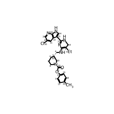 CCC1=C(NC[C@H]2CCCN(C(=O)Oc3ccc(C)cc3)C2)N=C(c2c[nH]c3ncc(Cl)cc23)NC1